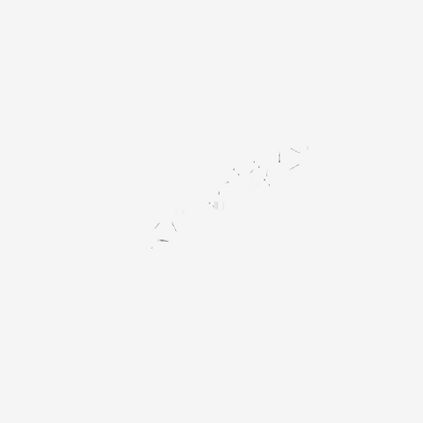 OC(COc1ccc(Cl)cc1)NC12CC(Nc3nc(-c4ccc(Cl)cc4)no3)(C1)C2